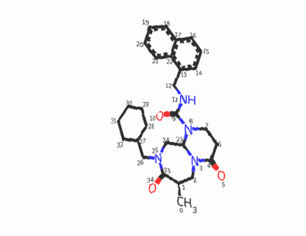 C[C@@H]1CN2C(=O)CCN(C(=O)NCc3cccc4ccccc34)C2CN(CC2CCCCC2)C1=O